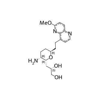 COc1ccc2nccc(CC[C@@H]3CC[C@@H](N)[C@@H](C[C@H](O)CO)O3)c2n1